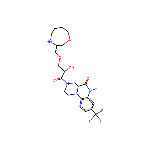 CN1C(=O)C2CN(C(=O)C(O)COCC3COCCCCN3)CCN2c2ncc(C(F)(F)F)cc21